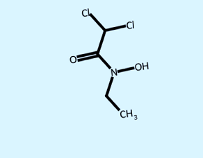 CCN(O)C(=O)C(Cl)Cl